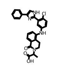 CC(C(=O)O)N1CCc2c(Nc3ccc(Cl)c(-c4nc(-c5ccccc5)c[nH]4)c3)cccc2C1=O